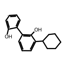 Oc1c[c]ccc1-c1cccc(C2CCCCC2)c1O